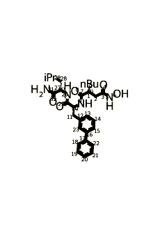 CCCC[C@H](CC(=O)NO)C(=O)N[C@@H](Cc1cccc(-c2ccccc2)c1)C(=O)N[C@@H](CC(C)C)C(N)=O